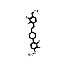 C=Cc1ccc(CCC2CCC(c3ccc(OC)c(F)c3F)CC2)c(F)c1F